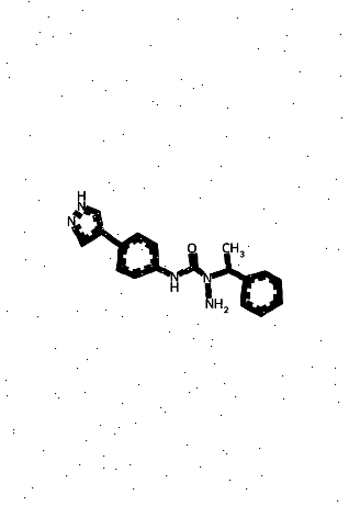 CC(c1ccccc1)N(N)C(=O)Nc1ccc(-c2cn[nH]c2)cc1